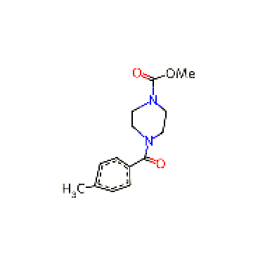 COC(=O)N1CCN(C(=O)c2ccc(C)cc2)CC1